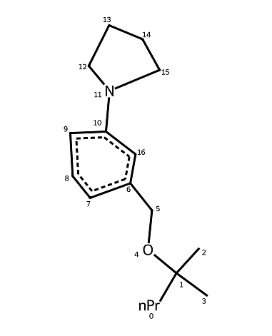 CCCC(C)(C)OCc1cccc(N2CCCC2)c1